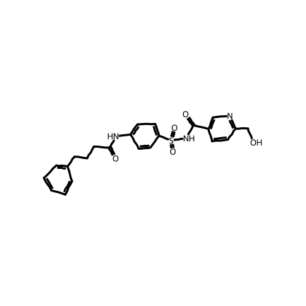 O=C(CCCc1ccccc1)Nc1ccc(S(=O)(=O)NC(=O)c2ccc(CO)nc2)cc1